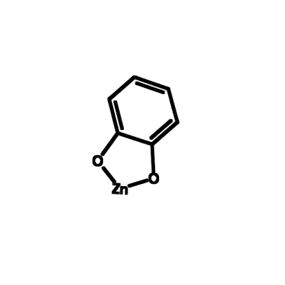 c1ccc2c(c1)[O][Zn][O]2